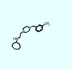 Cc1cccc(CN2CCN(CCNC3CCCCCC3)CC2)c1